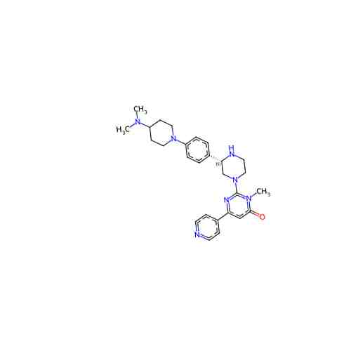 CN(C)C1CCN(c2ccc([C@H]3CN(c4nc(-c5ccncc5)cc(=O)n4C)CCN3)cc2)CC1